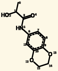 CC(O)C(=O)Nc1ccc2c(c1)OCCO2